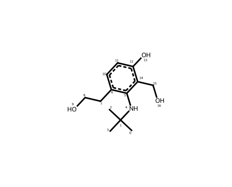 CC(C)(C)Nc1c(CCO)ccc(O)c1CO